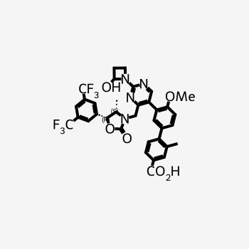 COc1ccc(-c2ccc(C(=O)O)cc2C)cc1-c1cnc(N2CCC2O)nc1CN1C(=O)O[C@H](c2cc(C(F)(F)F)cc(C(F)(F)F)c2)[C@@H]1C